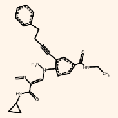 C=N/C(=C\N(N)c1ccc(C(=O)NCC(F)(F)F)cc1C#CCCc1ccccc1)C(=O)NC1CC1